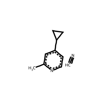 C#N.Cc1cc(C2CC2)ccn1